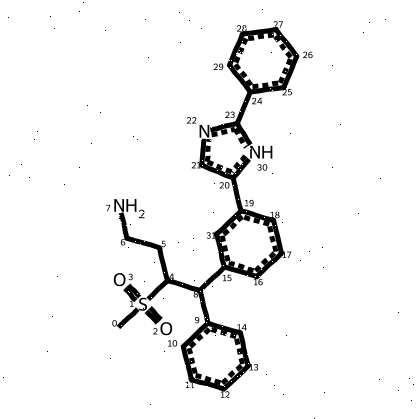 CS(=O)(=O)C(CCN)C(c1ccccc1)c1cccc(-c2cnc(-c3ccccc3)[nH]2)c1